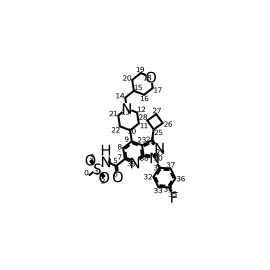 CS(=O)(=O)NC(=O)c1cc(C2CCN(CC3CCOCC3)CC2)c2c(C3CCC3)nn(-c3ccc(F)cc3)c2n1